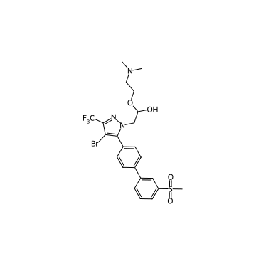 CN(C)CCOC(O)Cn1nc(C(F)(F)F)c(Br)c1-c1ccc(-c2cccc(S(C)(=O)=O)c2)cc1